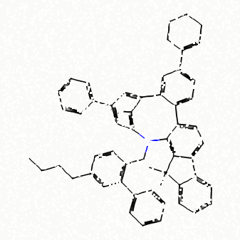 Bc1c2cc(-c3ccccc3)cc1N(Cc1ccc(CCCC)cc1-c1ccccc1)c1c(ccc3c1C(C)(C)c1ccccc1-3)-c1ccc(C3=CCCCC3)cc1-2